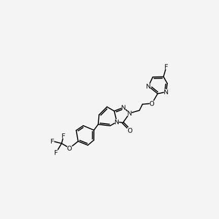 O=c1n(CCOc2ncc(F)cn2)nc2ccc(-c3ccc(OC(F)(F)F)cc3)cn12